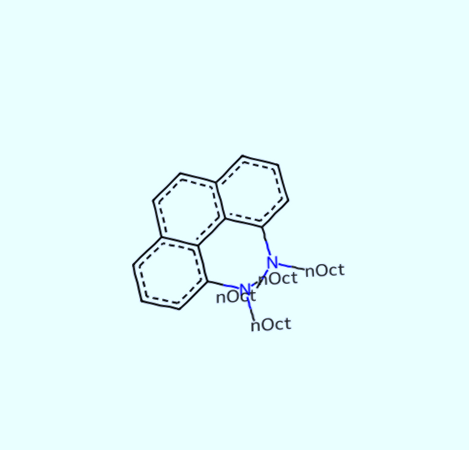 CCCCCCCCN(CCCCCCCC)c1cccc2ccc3cccc(N(CCCCCCCC)CCCCCCCC)c3c12